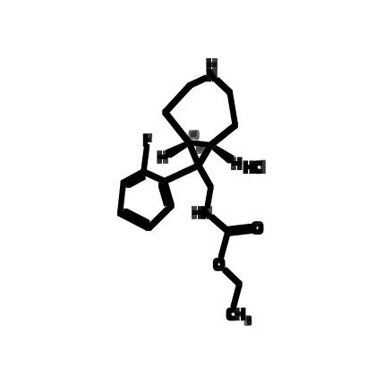 CCOC(=O)NCC1(c2ccccc2F)[C@@H]2CCNCC[C@@H]21.Cl